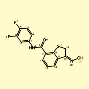 O=C(Nc1ccc(F)c(F)c1)c1cccc2c1SCC2=NO